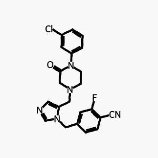 N#Cc1ccc(Cn2cncc2CN2CCN(c3cccc(Cl)c3)C(=O)C2)cc1F